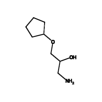 NCC(O)COC1CCCC1